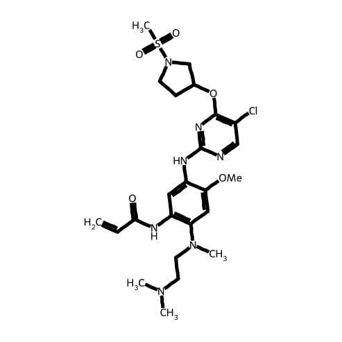 C=CC(=O)Nc1cc(Nc2ncc(Cl)c(OC3CCN(S(C)(=O)=O)C3)n2)c(OC)cc1N(C)CCN(C)C